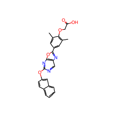 Cc1cc(-c2nc3cnc(Oc4ccc5ccccc5c4)nc3o2)cc(C)c1OCC(=O)O